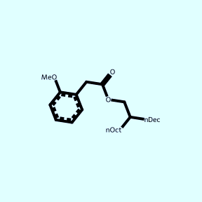 CCCCCCCCCCC(CCCCCCCC)COC(=O)Cc1ccccc1OC